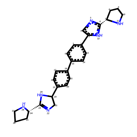 c1cc(-c2cnc([C@@H]3CCCN3)[nH]2)ccc1-c1ccc(C2CN=C([C@@H]3CCCN3)N2)cc1